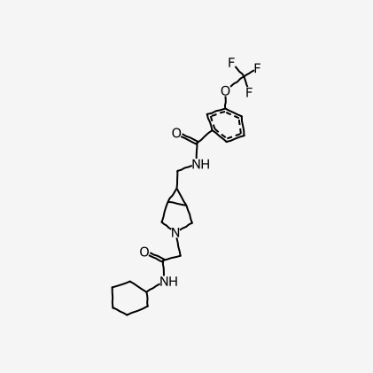 O=C(CN1CC2C(CNC(=O)c3cccc(OC(F)(F)F)c3)C2C1)NC1CCCCC1